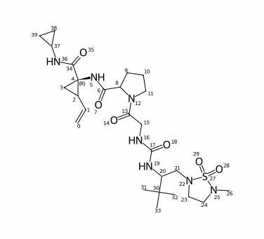 C=CC1C[C@]1(NC(=O)C1CCCN1C(=O)CNC(=O)NC(CN1CCN(C)S1(=O)=O)C(C)(C)C)C(=O)NC1CC1